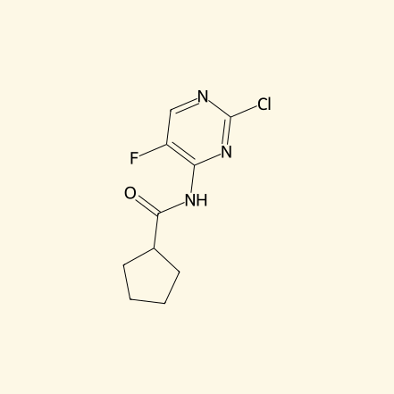 O=C(Nc1nc(Cl)ncc1F)C1CCCC1